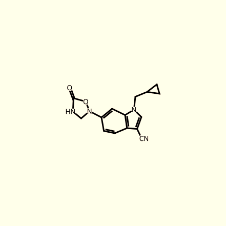 N#Cc1cn(CC2CC2)c2cc(N3CNC(=O)O3)ccc12